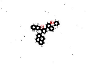 c1ccc2c(c1)Oc1ccc(-c3ccc(-c4ccc5ccc6cccc7ccc4c5c67)c4c3oc3cc5ccccc5cc34)c3cccc-2c13